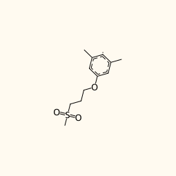 Cc1[c]c(C)cc(OCCCS(C)(=O)=O)c1